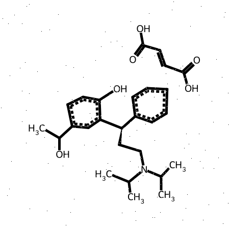 CC(O)c1ccc(O)c([C@H](CCN(C(C)C)C(C)C)c2ccccc2)c1.O=C(O)/C=C/C(=O)O